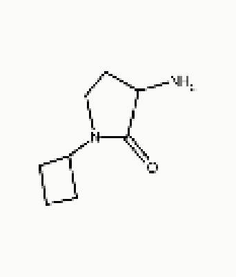 NC1CCN(C2CCC2)C1=O